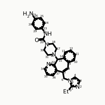 CCc1nccn1CC1=Cc2ccccc2C(N2CCN(C(=O)Nc3ccc(N)cc3)CC2)c2ncccc21